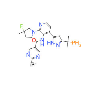 CC(C)c1ncc(C(=O)Nc2c(-c3cc(C(C)(C)P)n[nH]3)ccnc2N2CCC(C)(F)C2)cn1